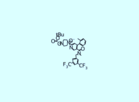 Cc1ccccc1-c1cc([N+]2([O-])CCN(OC(=O)OC(C)(C)C)CC2)ncc1C(=O)N(C)Cc1cc(C(F)(F)F)cc(C(F)(F)F)c1